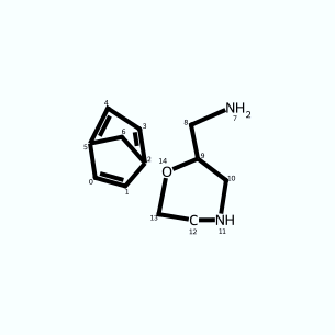 C1=CC2=CC=C1C2.NCC1CNCCO1